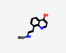 O=CNC=Cc1cccc2c(O)ccnc12